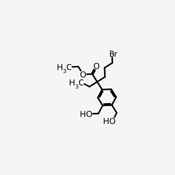 CCOC(=O)C(CC)(CCCBr)c1ccc(CO)c(CO)c1